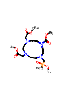 CCCCP(=O)(CN1CCN(CC(=O)OC(C)(C)C)CCN(CC(=O)OC(C)(C)C)CCN(C(=O)OC(C)(C)C)CC1)OCC